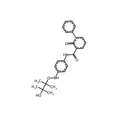 CC(C)(O)C(C)(C)OBc1ccc(NC(=O)c2cccn(-c3ccccc3)c2=O)cc1